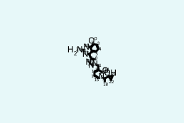 COc1cccc2c(-c3cn(Cc4cccn(C(C)C5(O)CC5)c4=O)nn3)nc(N)nc12